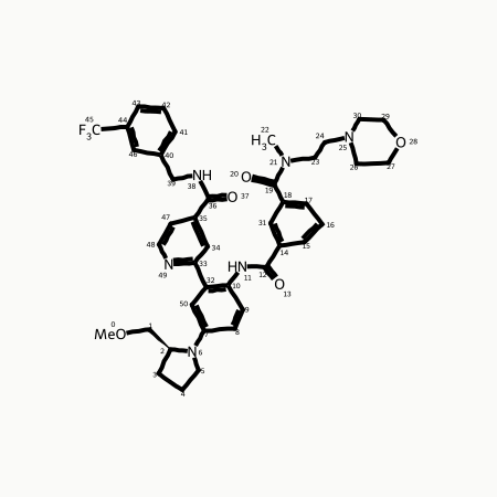 COC[C@@H]1CCCN1c1ccc(NC(=O)c2cccc(C(=O)N(C)CCN3CCOCC3)c2)c(-c2cc(C(=O)NCc3cccc(C(F)(F)F)c3)ccn2)c1